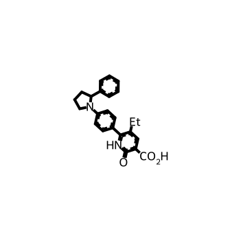 CCc1cc(C(=O)O)c(=O)[nH]c1-c1ccc(N2CCCC2c2ccccc2)cc1